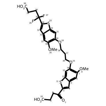 COc1cc2cc(C(=O)CCC(=O)O)sc2cc1OCCCOc1cc2sc(C(F)(F)CCC(=O)O)cc2cc1OC